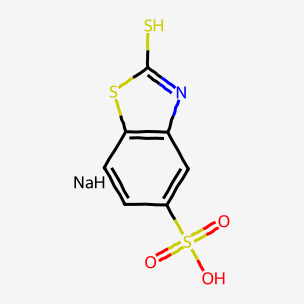 O=S(=O)(O)c1ccc2sc(S)nc2c1.[NaH]